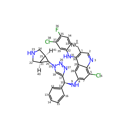 N#Cc1cnc2c(Cl)cc(N[C@@H](c3ccccc3)c3cn(C4[C@H]5CNC[C@@H]45)nn3)cc2c1Nc1ccc(F)c(Cl)c1